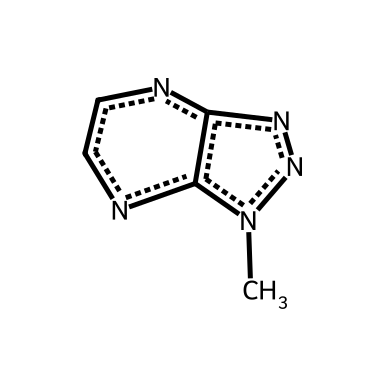 Cn1nnc2nccnc21